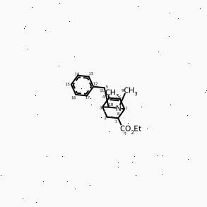 CCOC(=O)C1CC2C(C)=CC1N(C)C2Cc1ccccc1